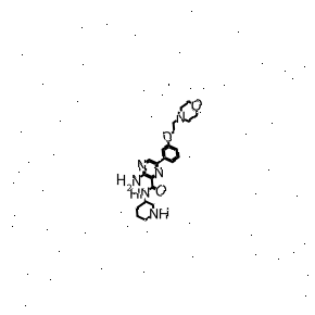 Nc1ncc(-c2cccc(OCCN3CCOCC3)c2)nc1C(=O)N[C@H]1CCCNC1